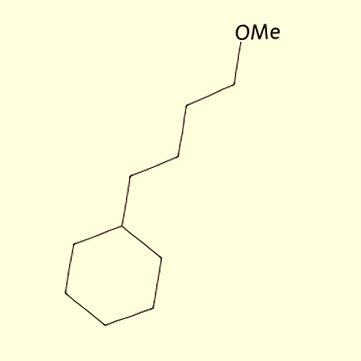 COCCCCC1CCCCC1